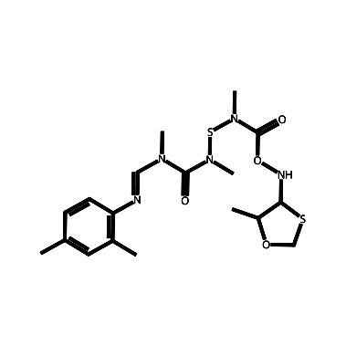 Cc1ccc(N=CN(C)C(=O)N(C)SN(C)C(=O)ONC2SCOC2C)c(C)c1